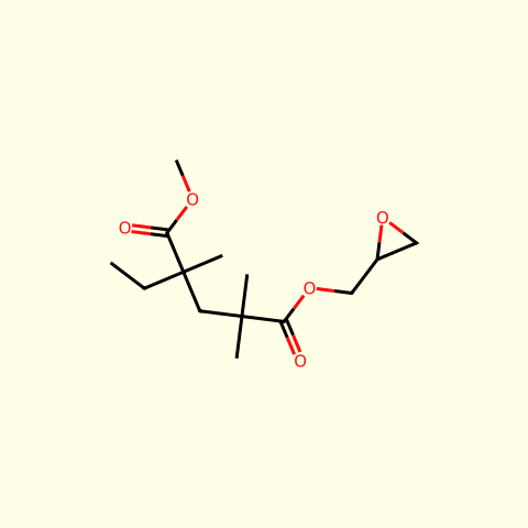 CCC(C)(CC(C)(C)C(=O)OCC1CO1)C(=O)OC